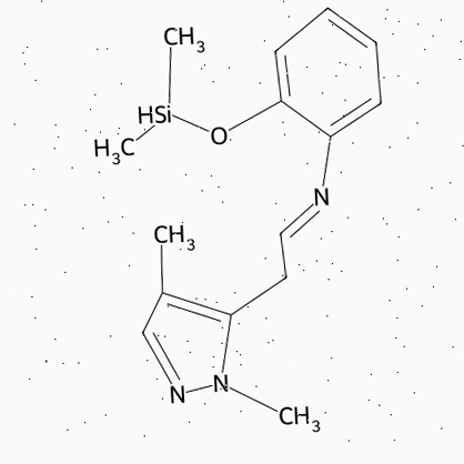 Cc1cnn(C)c1CC=Nc1ccccc1O[SiH](C)C